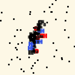 CCC(=O)NCNC(=N)c1cccc2c1OB(O)[C@@H](NC(=O)CCC(F)(F)F)C2